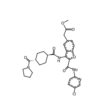 COC(=O)Cc1ccc2oc(C(=O)Nc3ccc(Cl)cn3)c(NC(=O)[C@H]3CC[C@H](C(=O)N4CCCC4)CC3)c2c1